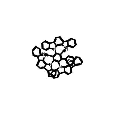 N#Cc1c(-c2ccccc2)c(-n2c3ccccc3c3ccc4c5ccccc5sc4c32)c(-n2c3ccccc3c3ccc4c5ccccc5sc4c32)c(C#N)c1-n1c2ccccc2c2ccc3c4ccccc4sc3c21